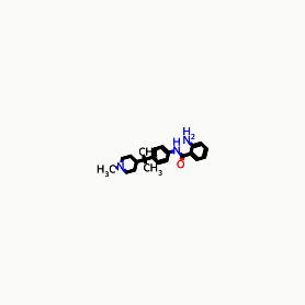 CN1CCC(C(C)(C)c2ccc(NC(=O)c3ccccc3N)cc2)CC1